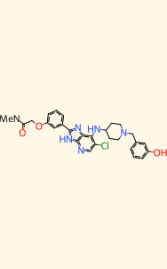 CNC(=O)COc1cccc(-c2nc3c(NC4CCN(Cc5cccc(O)c5)CC4)c(Cl)cnc3[nH]2)c1